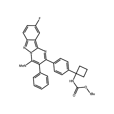 CNc1c(-c2ccccc2)c(-c2ccc(C3(NC(=O)OC(C)(C)C)CCC3)cc2)nc2c3cc(F)ccc3nn12